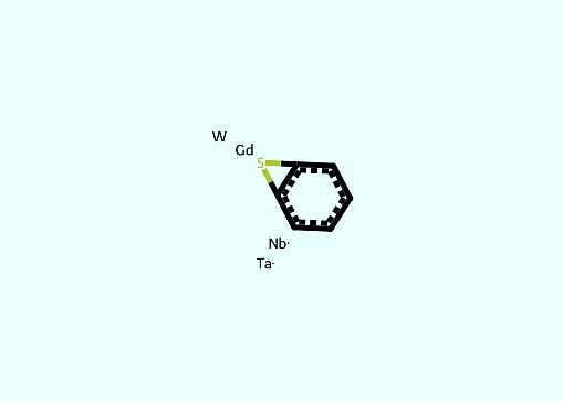 [Gd].[Nb].[Ta].[W].c1ccc2c(c1)S2